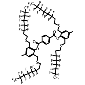 Cc1cc(CSCCC(F)(F)C(F)(F)C(F)(F)C(F)(F)C(F)(F)C(F)(F)F)c(OC(=O)c2ccc(C(=O)Oc3c(CSCCC(F)(F)C(F)(F)C(F)(F)C(F)(F)C(F)(F)C(F)(F)F)cc(C)cc3CSCCC(F)(F)C(F)(F)C(F)(F)C(F)(F)C(F)(F)C(F)(F)F)cc2)c(CSCCC(F)(F)C(F)(F)C(F)(F)C(F)(F)C(F)(F)C(F)(F)F)c1